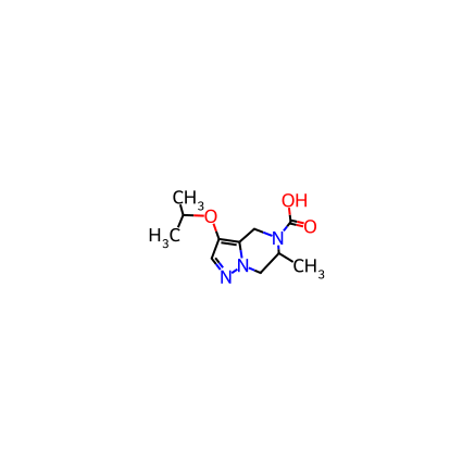 CC(C)Oc1cnn2c1CN(C(=O)O)C(C)C2